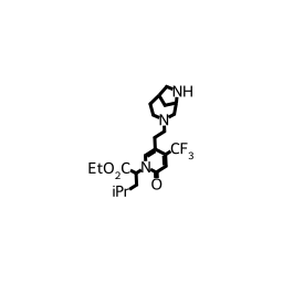 CCOC(=O)C(CC(C)C)n1cc(CCN2CCC3CNC(C3)C2)c(C(F)(F)F)cc1=O